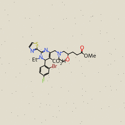 CCN1C(c2nccs2)=NC(CN2CCOC(CCC(=O)OC)C2)=C(C(=O)O)C1c1ccc(F)cc1Br